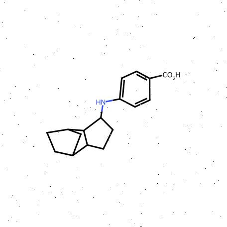 O=C(O)c1ccc(NC2CCC3C4CCC(C4)C23)cc1